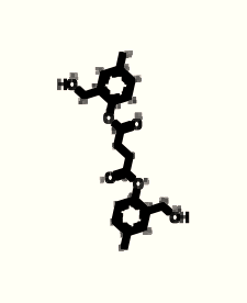 Cc1ccc(OC(=O)CCC(=O)Oc2ccc(C)cc2CO)c(CO)c1